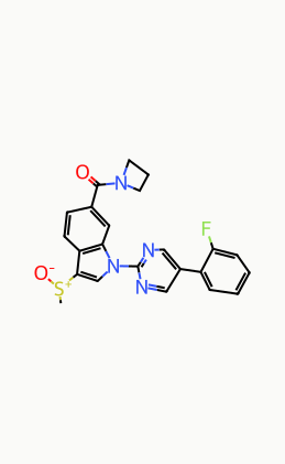 C[S+]([O-])c1cn(-c2ncc(-c3ccccc3F)cn2)c2cc(C(=O)N3CCC3)ccc12